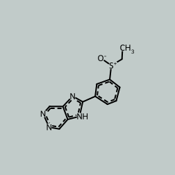 CC[S+]([O-])c1cccc(-c2nc3cnncc3[nH]2)c1